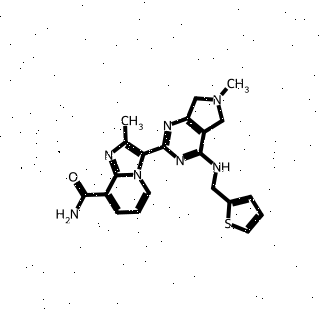 Cc1nc2c(C(N)=O)cccn2c1-c1nc2c(c(NCc3cccs3)n1)CN(C)C2